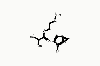 CCCCCCCCSCCOC(=O)C(C(C)(C)C)C(C)(C)C.Oc1ccc2cc1-2